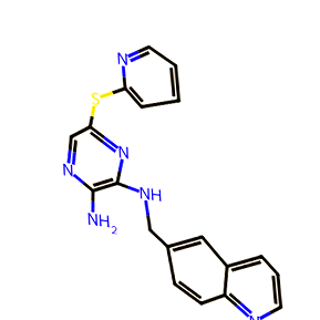 Nc1ncc(Sc2ccccn2)nc1NCc1ccc2ncccc2c1